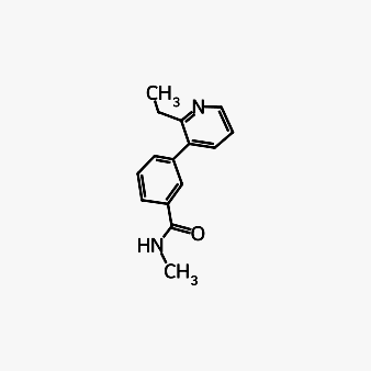 CCc1ncccc1-c1cccc(C(=O)NC)c1